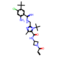 C=CC(=O)N1CC(NC(=O)c2c(C)nc(CNC(=N)c3cc(C(C)(C)C)c(Cl)cc3N)n2C(C)(C)C)C1